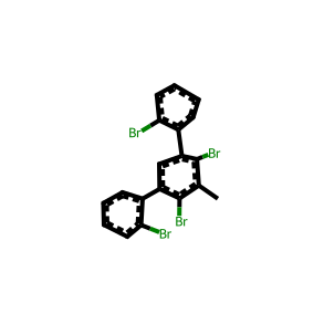 Cc1c(Br)c(-c2ccccc2Br)cc(-c2ccccc2Br)c1Br